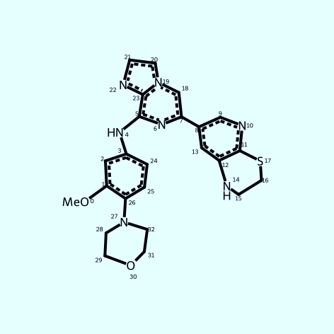 COc1cc(Nc2nc(-c3cnc4c(c3)NCCS4)cn3ccnc23)ccc1N1CCOCC1